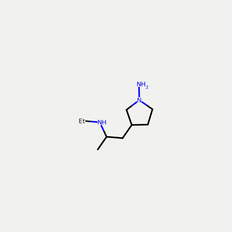 CCNC(C)CC1CCN(N)C1